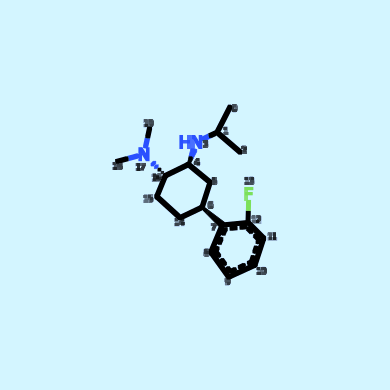 CC(C)N[C@H]1C[C@@H](c2ccccc2F)CC[C@@H]1N(C)C